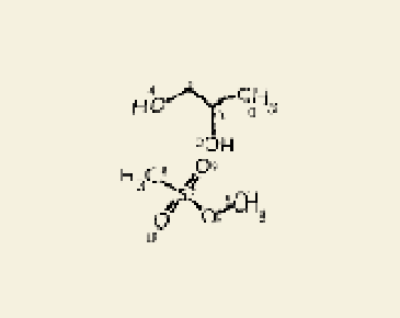 CC(O)CO.COS(C)(=O)=O